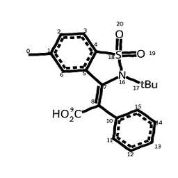 Cc1ccc2c(c1)/C(=C(\C(=O)O)c1ccccc1)N(C(C)(C)C)S2(=O)=O